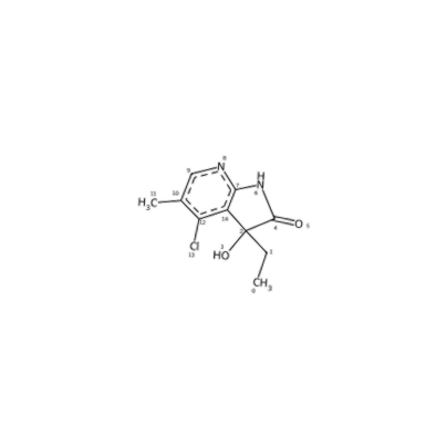 CCC1(O)C(=O)Nc2ncc(C)c(Cl)c21